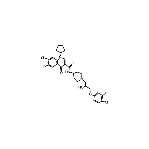 O=C(NC1CCN(CC(O)COc2ccc(Cl)c(F)c2)CC1)c1cn(C2CCCC2)c2cc(Cl)c(F)cc2c1=O